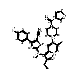 CCc1nn2cc(C)c(N3CCN(C(=O)[C@@H]4CCOC4)CC3)cc2c1N(C)c1nc(-c2ccc(F)cc2)c(C#N)s1